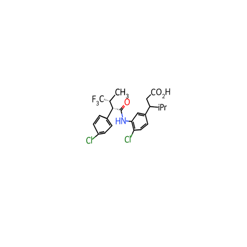 CC(C)C(CC(=O)O)c1ccc(Cl)c(NC(=O)[C@H](c2ccc(Cl)cc2)[C@@H](C)C(F)(F)F)c1